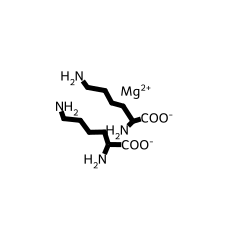 NCCCCC(N)C(=O)[O-].NCCCCC(N)C(=O)[O-].[Mg+2]